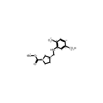 CC(C)(C)OC(=O)N1CC[C@H](CNc2cc(C(=O)O)ccc2[N+](=O)[O-])C1